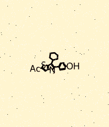 CC(=O)c1cc2c(s1)c(C1CCCCC1)c(-c1ccc(O)cc1)n2C